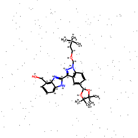 CC1(C)OB(c2ccc3c(c2)c(-c2nc4c(CO)cccc4[nH]2)nn3COCC[Si](C)(C)C)OC1(C)C